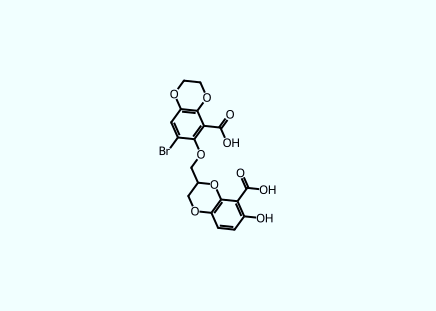 O=C(O)c1c(O)ccc2c1OC(COc1c(Br)cc3c(c1C(=O)O)OCCO3)CO2